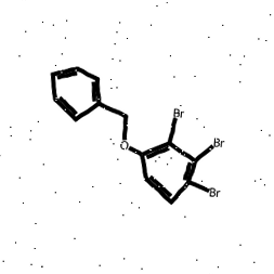 Brc1ccc(OCc2ccccc2)c(Br)c1Br